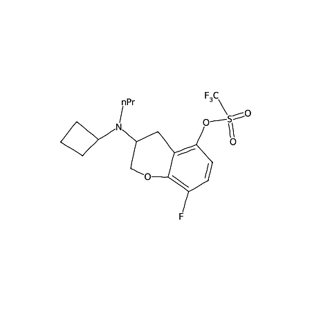 CCCN(C1CCC1)C1COc2c(F)ccc(OS(=O)(=O)C(F)(F)F)c2C1